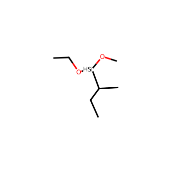 CCO[SiH](OC)C(C)CC